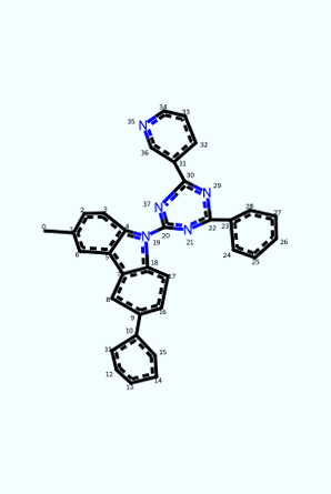 Cc1ccc2c(c1)c1cc(-c3ccccc3)ccc1n2-c1nc(-c2ccccc2)nc(-c2cccnc2)n1